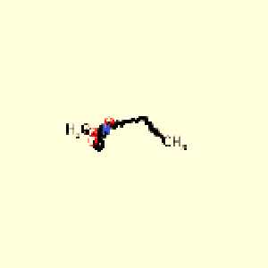 CCCCCCCC/C=C\CCCCCCCC(=O)N1CCC(C(=O)OCC)(c2ccccc2)CC1